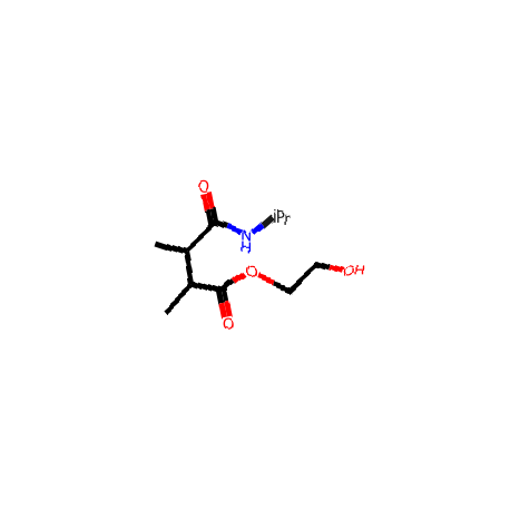 CC(C)NC(=O)C(C)C(C)C(=O)OCCO